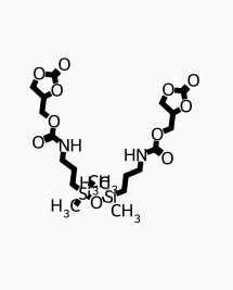 C[Si](C)(CCCNC(=O)OCC1COC(=O)O1)O[Si](C)(C)CCCNC(=O)OCC1COC(=O)O1